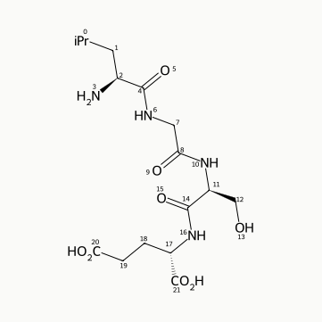 CC(C)C[C@H](N)C(=O)NCC(=O)N[C@@H](CO)C(=O)N[C@@H](CCC(=O)O)C(=O)O